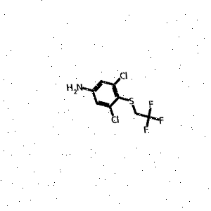 Nc1cc(Cl)c(SCC(F)(F)F)c(Cl)c1